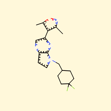 Cc1noc(C)c1-c1cnc2ccn(CC3CCC(F)(F)CC3)c2n1